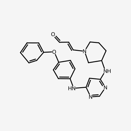 O=CC=CN1CCCC(Nc2cc(Nc3ccc(Oc4ccccc4)cc3)ncn2)C1